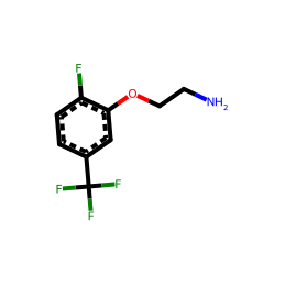 NCCOc1cc(C(F)(F)F)ccc1F